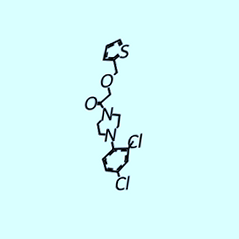 O=C(COCc1cccs1)N1CCN(c2ccc(Cl)cc2Cl)CC1